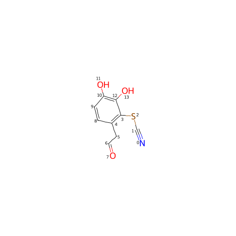 N#CSc1c(CC=O)ccc(O)c1O